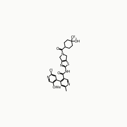 COc1cnc(Cl)cc1-c1cc(C)ncc1C(=O)Nc1nc2c(s1)CN(C(=O)C1CCC(O)(C(F)(F)F)CC1)C2